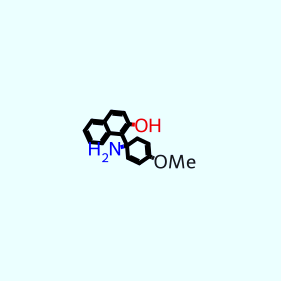 COC1=CCC(N)(c2c(O)ccc3ccccc23)C=C1